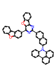 c1ccc2c(c1)-c1cccc3cccc(c13)N2c1ccc2ccc(-c3nc(-c4ccc5oc6ccccc6c5c4)c4oc5ccccc5c4n3)cc2c1